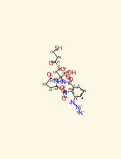 [N-]=[N+]=Nc1cccc(C(=O)NC(CSC(=O)CCS)(N2C(=O)CCC2=O)S(=O)(=O)O)c1[N+](=O)[O-]